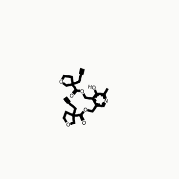 C#CCC1(C(=O)OCc2cnc(C)c(O)c2COC(=O)C2(CC#C)CCOC2)CCOC1